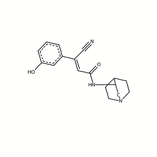 N#CC(=CC(=O)NC1CN2CCC1CC2)c1cccc(O)c1